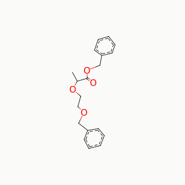 CC(OCCOCc1ccccc1)C(=O)OCc1ccccc1